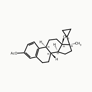 CC(=O)Oc1ccc2c(c1)CC[C@@H]1[C@@H]2CC[C@@]2(C)[C@H]1CC[C@]2(C)C1CC1